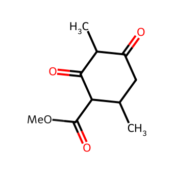 COC(=O)C1C(=O)C(C)C(=O)CC1C